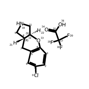 Clc1ccc2c(c1)C[C@@H]1CNC[C@H]1O2.O=C(O)C(F)(F)F